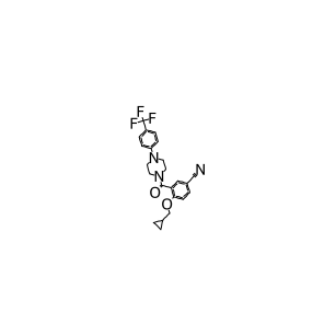 N#Cc1ccc(OCC2CC2)c(C(=O)N2CCN(c3ccc(C(F)(F)F)cc3)CC2)c1